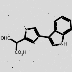 O=CC(C(=O)O)c1cc(-c2c[nH]c3ccccc23)cs1